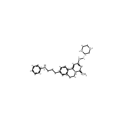 C=C1N=C(OC[C@H]2COCCO2)C=C2c3ccc(CCCNc4ccccc4)cc3CCN12